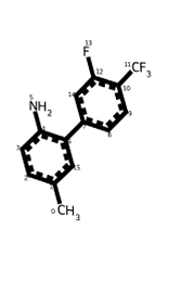 Cc1ccc(N)c(-c2ccc(C(F)(F)F)c(F)c2)c1